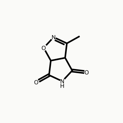 CC1=NOC2C(=O)NC(=O)C12